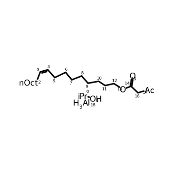 CC(C)O.CCCCCCCC/C=C\CCCCCCCCOC(=O)CC(C)=O.[AlH3]